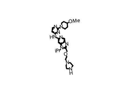 COC1CCN(c2nccc(Nc3cc4c(cn3)nc(COCCN3CCNCC3)n4C(C)C)n2)CC1